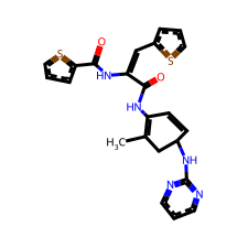 CC1=C(NC(=O)/C(=C\c2cccs2)NC(=O)c2cccs2)C=CC(Nc2ncccn2)C1